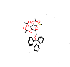 CS[C@H]1O[C@H](COC(c2ccccc2)(c2ccccc2)c2ccccc2)[C@@H](OC(C)=O)[C@H](OC(C)=O)[C@H]1OC(C)=O